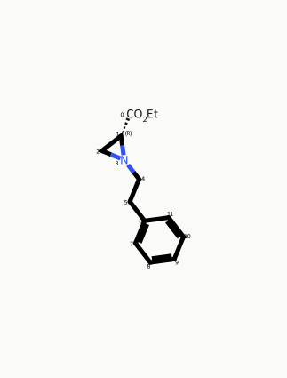 CCOC(=O)[C@H]1CN1CCc1ccccc1